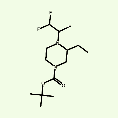 CCC1CN(C(=O)OC(C)(C)C)CCN1C(F)C(F)F